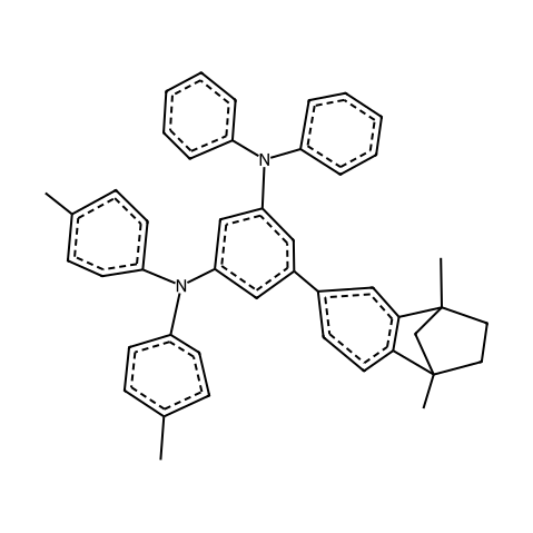 Cc1ccc(N(c2ccc(C)cc2)c2cc(-c3ccc4c(c3)C3(C)CCC4(C)C3)cc(N(c3ccccc3)c3ccccc3)c2)cc1